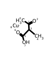 CC(=O)C(C)C(=O)O.[Cu]